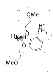 COCC[O][AlH][O]CCOC.Cc1ccccc1.[H+].[H+].[NaH]